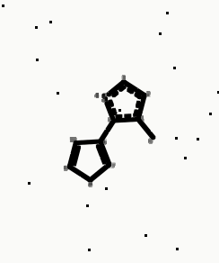 Cc1ccsc1C1=[C]CC=C1